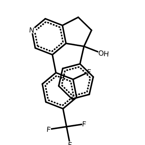 OC1(c2ccccc2)CCc2cncc(-c3ccc(C(F)(F)F)cc3F)c21